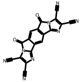 N#Cc1nc2c3cc4c(cc3c(=O)n2c1C#N)c(=O)n1c(C#N)c(C#N)nc41